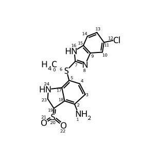 C.Nc1ccc(Sc2nc3cc(Cl)ccc3[nH]2)c2c1C(=S(=O)=O)CN2